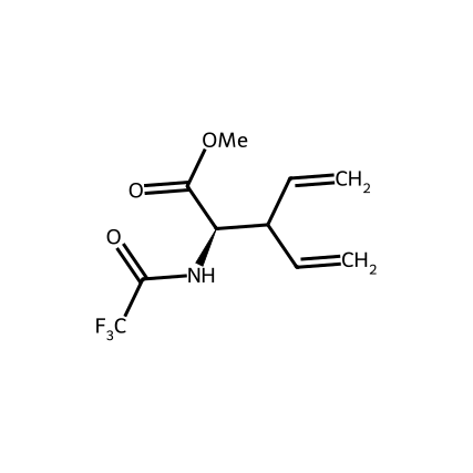 C=CC(C=C)[C@@H](NC(=O)C(F)(F)F)C(=O)OC